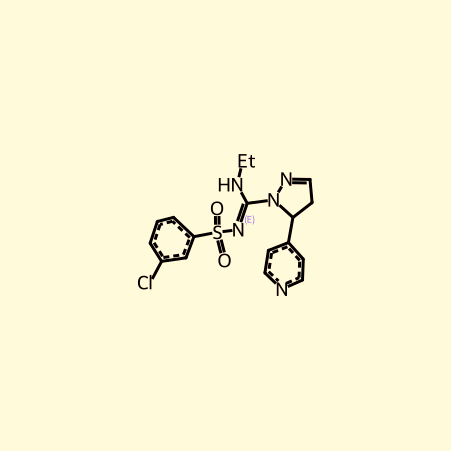 CCN/C(=N\S(=O)(=O)c1cccc(Cl)c1)N1N=CCC1c1ccncc1